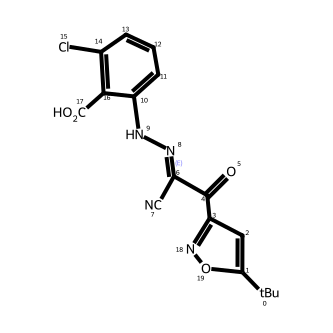 CC(C)(C)c1cc(C(=O)/C(C#N)=N/Nc2cccc(Cl)c2C(=O)O)no1